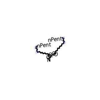 CCCCC/C=C\C/C=C\CCCCCCCC(=O)OC[C@H](CCN(C)C)OC(=O)CCCCCCC/C=C\C/C=C\CCCCC